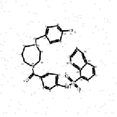 O=C(c1ccc(NS(=O)(=O)c2cccc3cccnc23)cc1)N1CCCN(Cc2ccc(C(F)(F)F)cc2)CC1